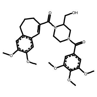 COc1cc2c(cc1OC)CCCC(C(=O)N1CCN(C(=O)c3cc(OC)c(OC)c(OC)c3)CC1CO)=C2